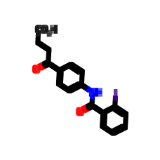 O=C(O)CCC(=O)c1ccc(NC(=O)c2ccccc2I)cc1